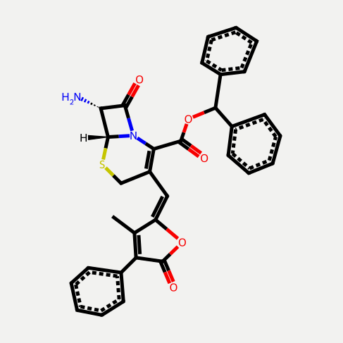 CC1=C(c2ccccc2)C(=O)O/C1=C/C1=C(C(=O)OC(c2ccccc2)c2ccccc2)N2C(=O)[C@@H](N)[C@H]2SC1